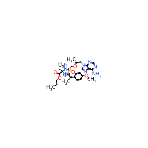 CCCOC(=O)C(C)(C)N[P@@](=O)(CO[C@H](C)Cn1cnc2c(N)ncnc21)N[C@H](C)c1ccc(OC)cc1